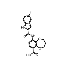 O=C(Nc1ccc(C(=O)O)c2c1OCCCO2)c1cc2cc(Cl)ccc2[nH]1